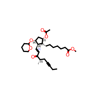 CCC#CC[C@H](C)C(=O)/C=C/[C@@H]1[C@@H](CCCCCCC(=O)OC)[C@@H](OC(C)=O)C[C@H]1OC1CCCCO1